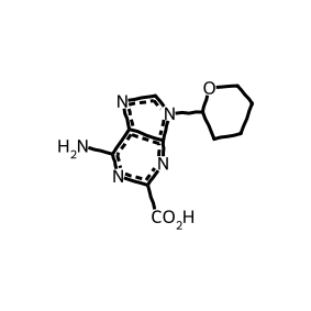 Nc1nc(C(=O)O)nc2c1ncn2C1CCCCO1